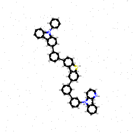 c1ccc(-n2c3ccccc3c3cc(-c4cccc(-c5ccc6sc7ccc(-c8cccc(-c9cccc(-n%10c%11ccccc%11c%11ncccc%11%10)c9)c8)cc7c6c5)c4)ccc32)cc1